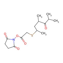 CC(CC(C)C(=O)C(C)C)SCC(=O)ON1C(=O)CCC1=O